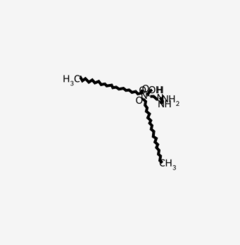 CCCCCCCCCCCCCCCCCCCCCC(=O)N(C(=O)CCCCCCCCCCCCCCCCCCCCC)[C@@H](CCCNC(=N)N)C(=O)O